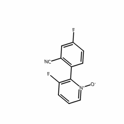 N#Cc1cc(F)ccc1-c1c(F)ccc[n+]1[O-]